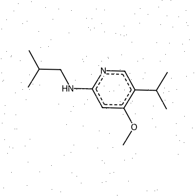 COc1cc(NCC(C)C)ncc1C(C)C